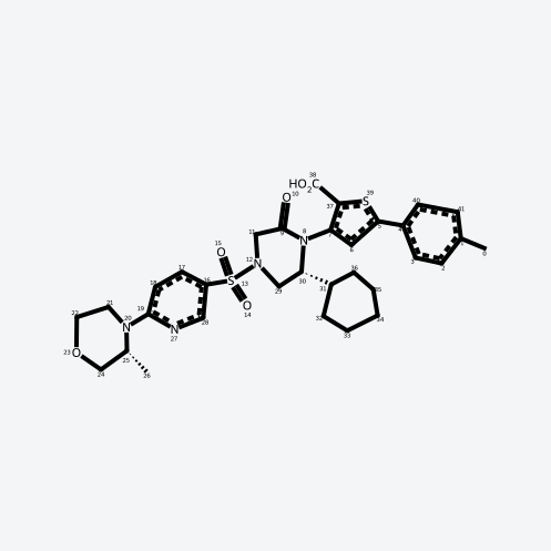 Cc1ccc(-c2cc(N3C(=O)CN(S(=O)(=O)c4ccc(N5CCOC[C@H]5C)nc4)C[C@H]3C3CCCCC3)c(C(=O)O)s2)cc1